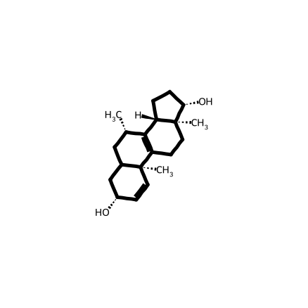 C[C@H]1CC2C[C@@H](O)C=C[C@]2(C)C2=C1[C@@H]1CC[C@H](O)[C@@]1(C)CC2